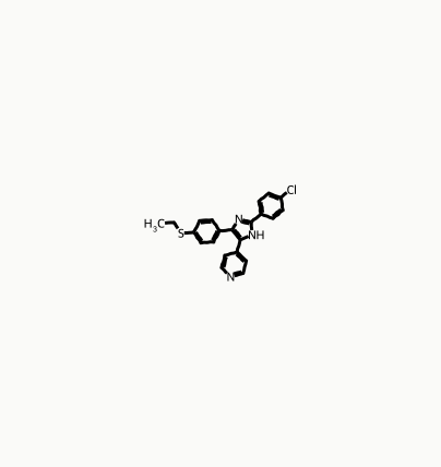 CCSc1ccc(-c2nc(-c3ccc(Cl)cc3)[nH]c2-c2ccncc2)cc1